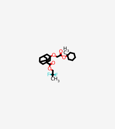 CC(F)(F)COC(=O)C12CC3CC(CC(OCC(=O)OC4(C)CCCCC4)(C3)C1)C2